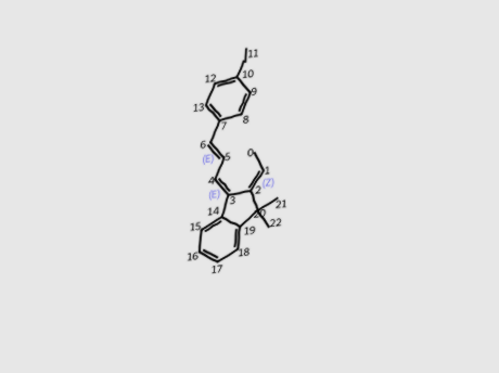 C\C=C1/C(=C\C=C\c2ccc(I)cc2)c2ccccc2C1(C)C